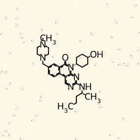 CCC[C@H](C)Nc1ncc2c3ccc(CN4CCN(C)CC4)cc3c(=O)n([C@H]3CC[C@H](O)CC3)c2n1